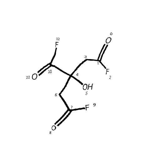 O=C(F)CC(O)(CC(=O)F)C(=O)F